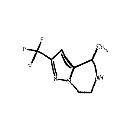 CC1NCCn2nc(C(F)(F)F)cc21